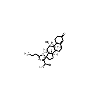 CCCC(=O)O[C@]1(C(=O)C(O)Br)CC[C@H]2[C@@H]3CCC4=CC(=O)CC[C@]4(C)[C@H]3[C@@H](O)C[C@@]21C